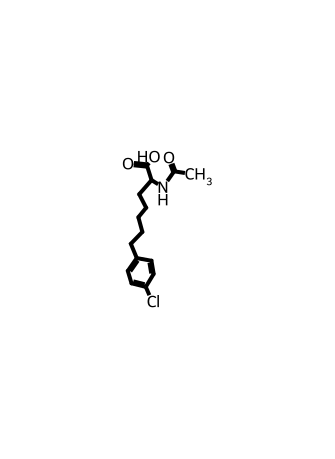 CC(=O)NC(CCCCCc1ccc(Cl)cc1)C(=O)O